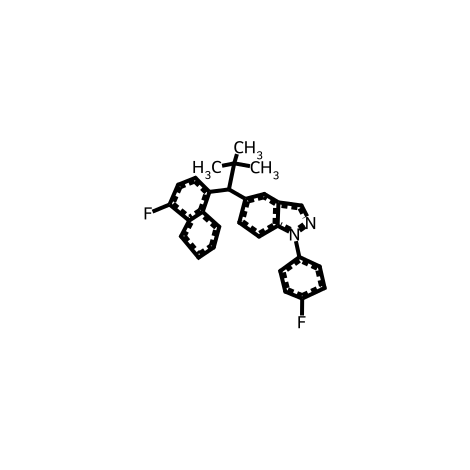 CC(C)(C)C(c1ccc2c(cnn2-c2ccc(F)cc2)c1)c1ccc(F)c2ccccc12